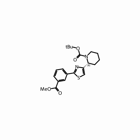 COC(=O)c1cccc(-c2nc([C@H]3CCCCN3C(=O)OC(C)(C)C)cs2)c1